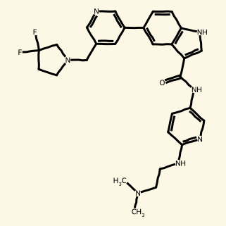 CN(C)CCNc1ccc(NC(=O)c2c[nH]c3ccc(-c4cncc(CN5CCC(F)(F)C5)c4)cc23)cn1